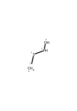 C.CSPO